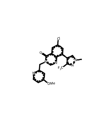 COc1ccnc(Cn2cnc3c(-c4cn(C)nc4C(F)(F)F)cc(Cl)cc3c2=O)c1